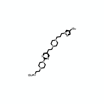 CC(C)(C)OCCN1CCN(c2ncc(CCN3CCN(CCCn4cc(C(C)(C)C)cn4)CC3)cn2)CC1